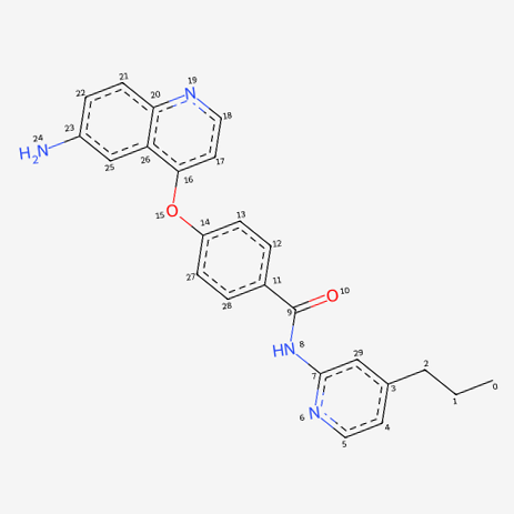 CCCc1ccnc(NC(=O)c2ccc(Oc3ccnc4ccc(N)cc34)cc2)c1